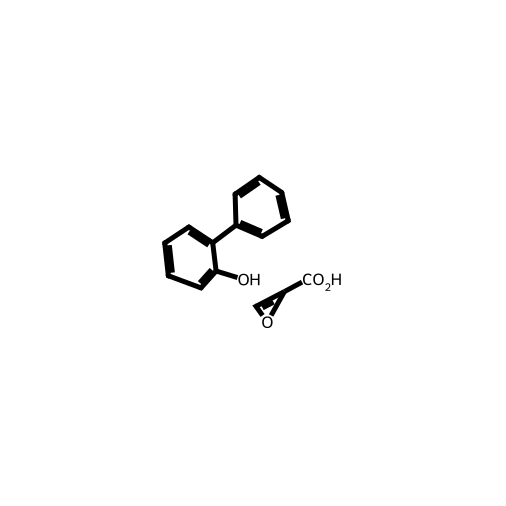 O=C(O)C1=CO1.Oc1ccccc1-c1ccccc1